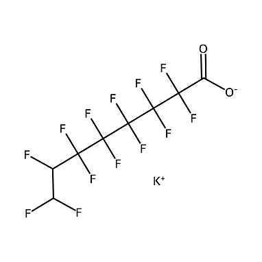 O=C([O-])C(F)(F)C(F)(F)C(F)(F)C(F)(F)C(F)(F)C(F)C(F)F.[K+]